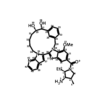 CC[C@@H]1[C@H](N)[C@H](C)CN1C(=O)c1cc(OC)c2c(c1)nc1n2Cc2cccc(c2)[C@H](O)[C@H](O)CCCCn2c-1cc1cccnc12